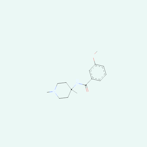 COc1cccc(C(=O)NC2(C)CCN(C)CC2)c1